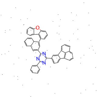 C1=CC2C=C(c3nc(-c4ccccc4)nc(-c4ccc5c(c4)-c4cccc6cccc-5c46)n3)C=C(c3cccc4oc5ccccc5c34)C2C=C1